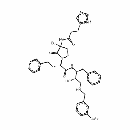 CC[C@H](C)C1(NC(=O)CCc2cnc[nH]2)CCN([C@@H](CCc2ccccc2)C(=O)N[C@@H](Cc2ccccc2)[C@H](O)CNCc2cccc(OC)c2)C1=O